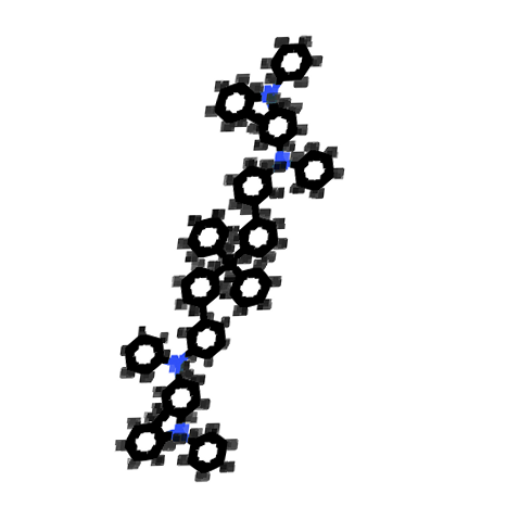 c1ccc(N(c2cccc(-c3cccc([Si](c4ccccc4)(c4ccccc4)c4cccc(-c5cccc(N(c6ccccc6)c6ccc7c(c6)c6ccccc6n7-c6ccccc6)c5)c4)c3)c2)c2ccc3c(c2)c2ccccc2n3-c2ccccc2)cc1